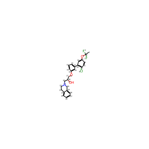 CC(F)(F)Oc1ccc(Cl)c(-c2cccc(OCC(O)CN3CCc4ccccc4C3)c2)c1